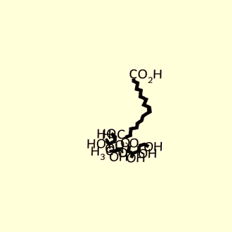 CC(CCCCCC/C=C\CCCCCCCC(=O)O)O[C@@H]1OC(CO)[C@@H](O)C(O)[C@@H]1O[C@H](OC(CO)[C@@H](O)CO)[C@H](C)O